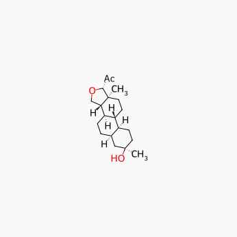 CC(=O)[C@H]1OC[C@H]2[C@@H]3CC[C@@H]4C[C@](C)(O)CC[C@@H]4[C@H]3CC[C@]12C